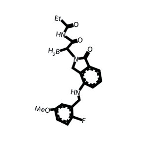 BC(C(=O)NC(=O)CC)N1Cc2c(NCc3cc(OC)ccc3F)cccc2C1=O